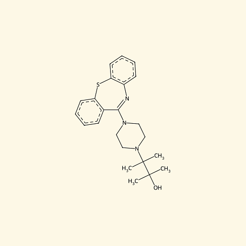 CC(C)(O)C(C)(C)N1CCN(C2=Nc3ccccc3Sc3ccccc32)CC1